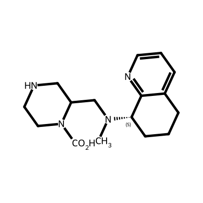 CN(CC1CNCCN1C(=O)O)[C@H]1CCCc2cccnc21